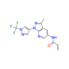 C=CC(=O)Nc1cnc2c(c1)c(C)nn2-c1cnn(C(F)(F)F)c1